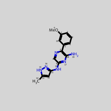 COc1cccc(-c2ncc(Nc3cc(C)[nH]n3)nc2N)c1